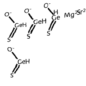 [Mg+2].[O-][GeH]=[S].[O-][GeH]=[S].[O-][GeH]=[S].[O-][GeH]=[S].[Sr+2]